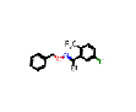 CC/C(=N\OCc1ccccc1)c1cc(Cl)ccc1C(F)(F)F